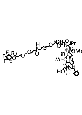 CC[C@H](C)[C@@H]([C@@H](CC(=O)N1CCC[C@H]1[C@H](OC)[C@@H](C)C(=O)N[C@@H](Cc1ccccc1)C(=O)O)OC)N(C)C(=O)[C@@H](NC(=O)C(C)(C)NC(=O)CCOCCOCCNC(=O)CCOCCOCCC(=O)Oc1c(F)c(F)c(F)c(F)c1F)C(C)C